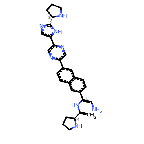 C=C(N/C(=C\N)c1ccc2cc(-c3cnc(-c4cnc([C@@H]5CCCN5)[nH]4)cn3)ccc2c1)[C@@H]1CCCN1